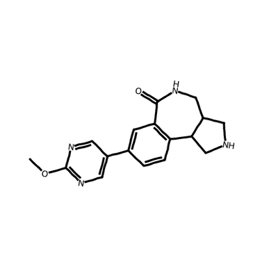 COc1ncc(-c2ccc3c(c2)C(=O)NCC2CNCC32)cn1